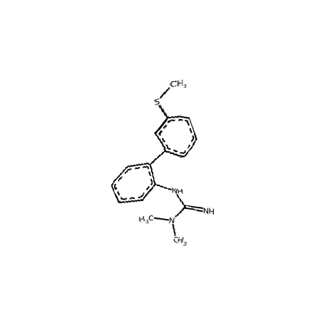 CSc1cccc(-c2ccccc2NC(=N)N(C)C)c1